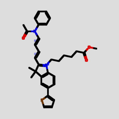 COC(=O)CCCCC[N+]1=C(/C=C/C=C/N(C(C)=O)c2ccccc2)C(C)(C)c2cc(-c3cccs3)ccc21